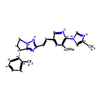 COc1cc(/C=C/c2nc3n(n2)CC[C@H]3c2ccccc2C(F)(F)F)cnc1-n1cnc(C)c1